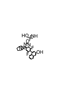 OCC1(COc2nc(N3CC4CCC(C3)N4)c3cc(F)c(-c4cc(O)cc5ccccc45)c(F)c3n2)CNC1